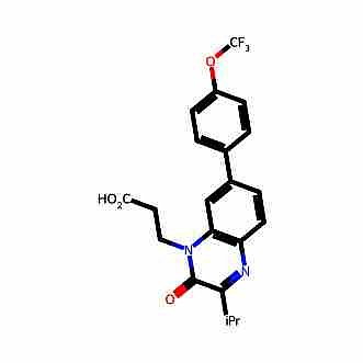 CC(C)c1nc2ccc(-c3ccc(OC(F)(F)F)cc3)cc2n(CCC(=O)O)c1=O